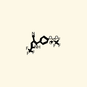 N#Cc1cc(C(F)(F)F)[nH]c1-c1ccc(OS(=O)(=O)C(F)(F)F)cc1